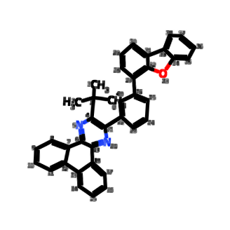 CC(C)(C)c1nc2c3ccccc3c3ccccc3c2nc1-c1cccc(-c2cccc3c2oc2ccccc23)c1